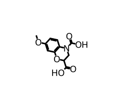 COc1ccc2c(c1)OC(C(=O)O)CN2C(=O)O